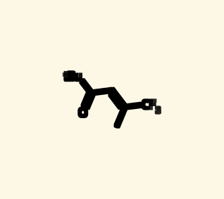 C/C(=C\C(=O)C(C)(C)C)C(F)(F)F